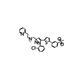 CN(CCc1ccccn1)Cc1cc(-c2ccc(-c3cccc(S(C)(=O)=O)c3)s2)n(-c2ccccc2Cl)n1